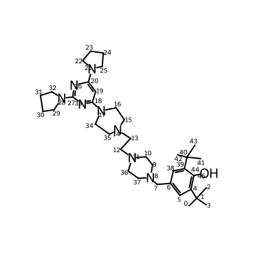 CC(C)(C)c1cc(CN2CCN(CCN3CCN(c4cc(N5CCCC5)nc(N5CCCC5)n4)CC3)CC2)cc(C(C)(C)C)c1O